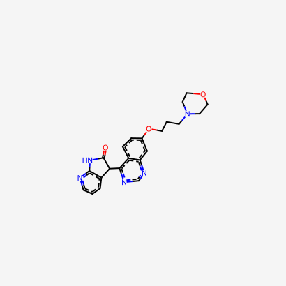 O=C1Nc2ncccc2C1c1ncnc2cc(OCCCN3CCOCC3)ccc12